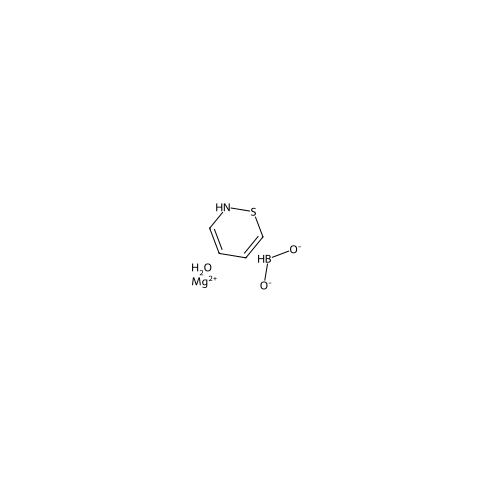 C1=CNSC=C1.O.[Mg+2].[O-]B[O-]